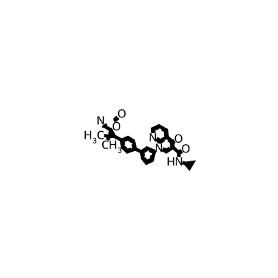 CC1(C)C(c2ccc(-c3cccc(-n4cc(C(=O)NC5CC5)c(=O)c5cccnc54)c3)cc2)C1(C#N)OC=O